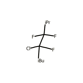 CCC(C)C(F)(Cl)C(F)(F)C(C)C